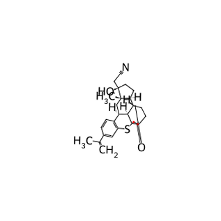 C=C(C)c1ccc2c(c1)S[C@]13CCC(=O)C=C1CC[C@@H]1[C@@H]3[C@@H]2C[C@@]2(C)[C@H]1CC[C@@]2(O)CC#N